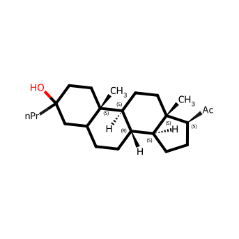 CCCC1(O)CC[C@@]2(C)C(CC[C@H]3[C@@H]4CC[C@H](C(C)=O)[C@@]4(C)CC[C@@H]32)C1